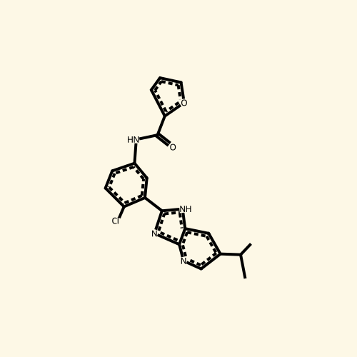 CC(C)c1cnc2nc(-c3cc(NC(=O)c4ccco4)ccc3Cl)[nH]c2c1